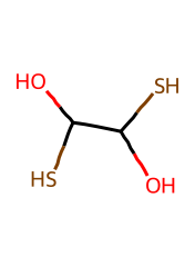 OC(S)C(O)S